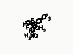 Cc1cc(C(N)=O)ncc1C(c1c(F)ccc(F)c1F)S(=O)(=O)c1ccc(C(F)(F)F)cc1